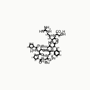 CC[C@H](C)[C@H](NC(=O)[C@H](CC(C)C)NC(=O)[C@@H](NC(=O)[C@@H]1CCCN1C(=O)[C@@H](NC(=O)[C@@H]1CCCN1)[C@@H](C)O)[C@@H](C)CC)C(=O)N[C@@H](Cc1ccccc1)C(=O)N[C@@H](CCCNC(=N)N)C(=O)N[C@@H](CO)C(=O)O